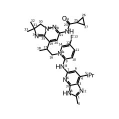 Cc1nc2c(C(C)C)cc(Nc3ccc(F)c[n+]3CC(C)C3=CC(NC(=O)C4CC4)=NN4CC(C)(C)N=C34)nc2[nH]1